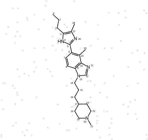 CCCc1[nH]c(-c2ccc3c(ncn3CCCC3CCN(C)CC3)c2C)nc1C